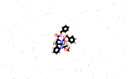 O=C(OCc1ccccc1)[C@@H]1C[C@@H]2c3ccccc3N(C3COCO3)[C@@H]2N1C(=O)OCc1ccccc1